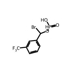 O=[PH](O)OC(Br)c1cccc(C(F)(F)F)c1